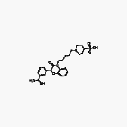 N=C(N)c1cccc(C2Oc3ccccc3N(CCCCCN3CCC(S(=O)(=O)O)CC3)C2=O)c1